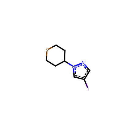 Ic1cnn(C2CCSCC2)c1